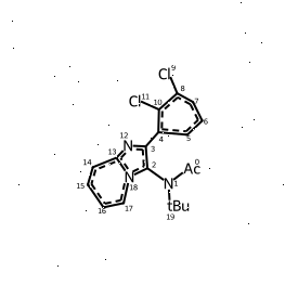 CC(=O)N(c1c(-c2cccc(Cl)c2Cl)nc2ccccn12)C(C)(C)C